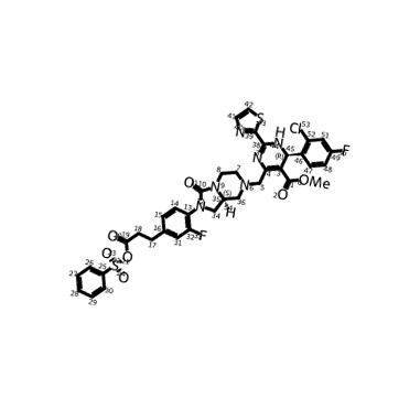 COC(=O)C1=C(CN2CCN3C(=O)N(c4ccc(CCC(=O)OS(=O)(=O)c5ccccc5)cc4F)C[C@@H]3C2)N=C(c2nccs2)N[C@H]1c1ccc(F)cc1Cl